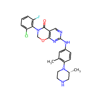 Cc1cc(Nc2ncc3c(n2)OCN(c2c(F)cccc2Cl)C3=O)ccc1N1CCNC[C@H]1C